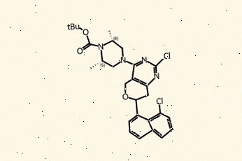 C[C@@H]1CN(c2nc(Cl)nc3c2COC(c2cccc4cccc(Cl)c24)C3)C[C@H](C)N1C(=O)OC(C)(C)C